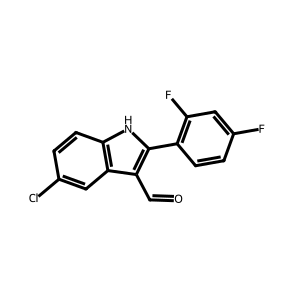 O=Cc1c(-c2ccc(F)cc2F)[nH]c2ccc(Cl)cc12